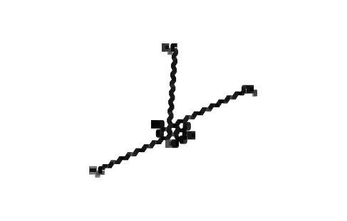 CCCCCCCCCCCCCCCCCc1c(CCCCCCCCCCCCCCCCC)c(C(=O)O)c(C(=O)O)c(CCCCCCCCCCCCCCCCC)c1C(=O)O